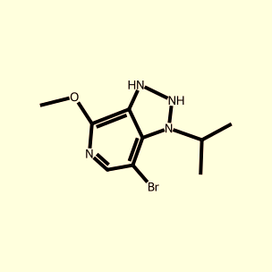 COc1ncc(Br)c2c1NNN2C(C)C